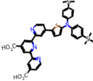 C[Si](C)(C)c1ccc(N(c2ccc([Si](C)(C)C)cc2)c2ccc(-c3ccnc(-c4cc(C(=O)O)cc(-c5cc(C(=O)O)ccn5)n4)c3)s2)cc1